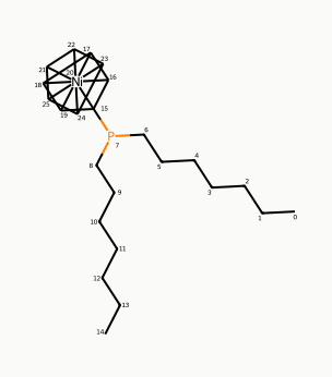 CCCCCCCP(CCCCCCC)[C]12[CH]3[CH]4[CH]5[CH]1[Ni]45321678[CH]2[CH]1[CH]6[CH]7[CH]28